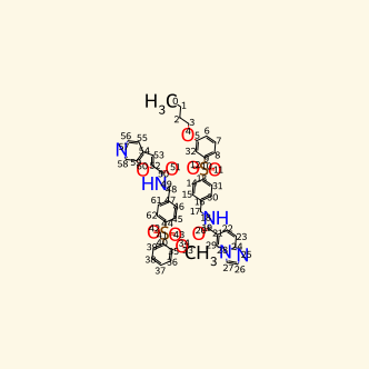 CCCCOc1cccc(S(=O)(=O)c2ccc(CNC(=O)c3ccc4nccn4c3)cc2)c1.COc1ccccc1S(=O)(=O)c1ccc(CNC(=O)c2cc3ccncc3o2)cc1